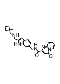 CC1(CNCc2cc3ccc(CNC(=O)c4cc(=O)n5ccccc5n4)cc3[nH]2)CCC1